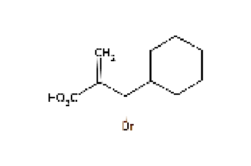 C=C(C(=O)O)C(Br)C1CCCCC1